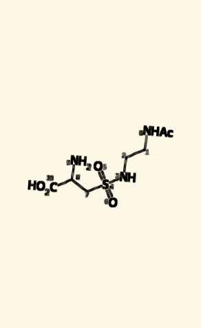 CC(=O)NCCNS(=O)(=O)CC(N)C(=O)O